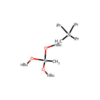 CC(C)[Si](C)(C(C)C)C(C)C.CCCCO[Si](C)(OCCCC)OCCCC